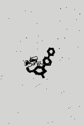 Cc1cc2c(c(-c3ccc(-c4ccccc4)cc3)c1)NS(=O)(=O)CC2